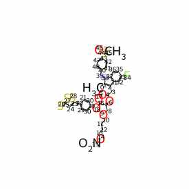 CC1=C(CC(=O)OC(COCCCCO[N+](=O)[O-])C(=O)Oc2ccc(-c3cc(=S)ss3)cc2)c2cc(F)ccc2/C1=C\c1ccc([S+](C)[O-])cc1